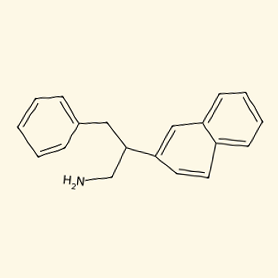 NCC(Cc1ccccc1)c1ccc2ccccc2c1